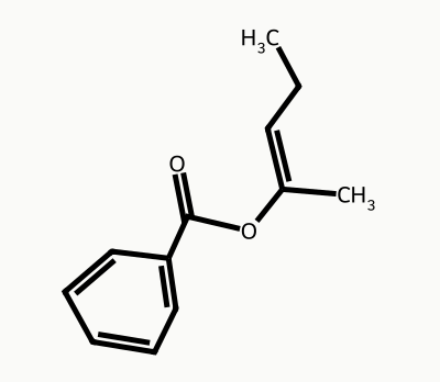 CCC=C(C)OC(=O)c1ccccc1